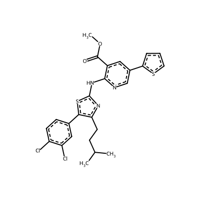 COC(=O)c1cc(-c2cccs2)cnc1Nc1nc(CCC(C)C)c(-c2ccc(Cl)c(Cl)c2)s1